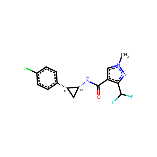 Cn1cc(C(=O)N[C@@H]2C[C@@H]2c2ccc(Cl)cc2)c(C(F)F)n1